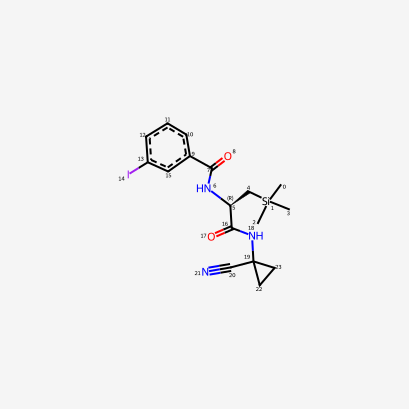 C[Si](C)(C)C[C@H](NC(=O)c1cccc(I)c1)C(=O)NC1(C#N)CC1